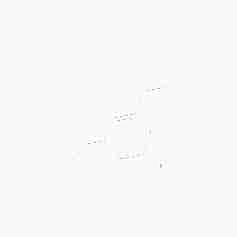 CN(C)Cc1cccc(S(=O)O)c1.[LiH]